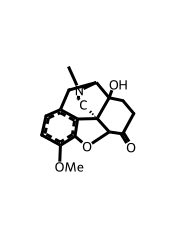 COc1ccc2c3c1OC1C(=O)CCC4(O)C(C2)N(C)CC[C@@]314